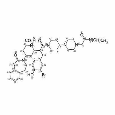 CN(O)C(=O)CN1CCN(C2CCN(C(=O)C(Cc3ccc(O)c(Br)c3)[C@H]3CC(N4CCc5ccccc5NC4=O)CCN3C(=O)O)CC2)CC1